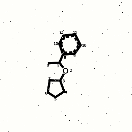 CC(OC1CCCC1)c1ccccc1